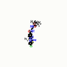 Cn1c(Nc2nc3ccc(Cl)cc3s2)nc2cc(C(=O)NCCNC(=O)OC(C)(C)C)ccc21